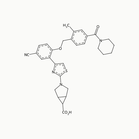 Cc1cc(C(=O)N2CCCCC2)ccc1COc1ccc(C#N)cc1-c1csc(N2CC3C(C2)C3C(=O)O)n1